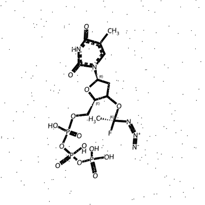 Cc1cn([C@H]2CC(O[C@](C)(F)N=[N+]=[N-])[C@@H](COP(=O)(O)OP(=O)(O)OP(=O)(O)O)O2)c(=O)[nH]c1=O